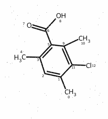 Cc1cc(C)c(C(=O)O)c(C)c1Cl